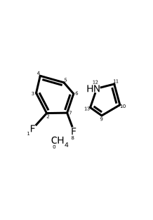 C.Fc1ccccc1F.c1cc[nH]c1